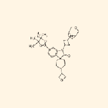 CC1(C)OB(c2ccc3c(c2)N(C2CC(N4C5CCC4COC5)C2)C(=O)C32CCN(C3COC3)CC2)OC1(C)C